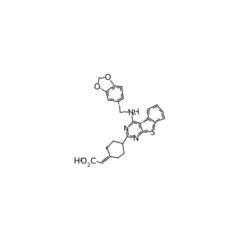 O=C(O)C=C1CCC(c2nc(NCc3ccc4c(c3)OCO4)c3c(n2)sc2ccccc23)CC1